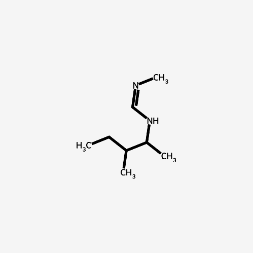 CCC(C)C(C)N/C=N\C